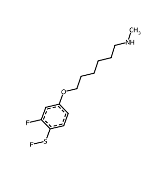 CNCCCCCCOc1ccc(SF)c(F)c1